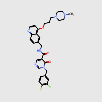 CN1CCN(CCCOc2ccnc3ccc(CNC(=O)c4cncn(Cc5ccc(F)c(F)c5)c4=O)cc23)CC1